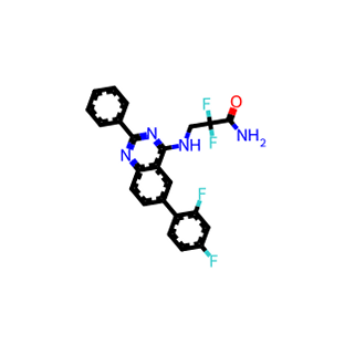 NC(=O)C(F)(F)CNc1nc(-c2ccccc2)nc2ccc(-c3ccc(F)cc3F)cc12